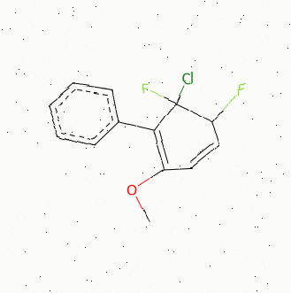 COC1=C(c2ccccc2)C(F)(Cl)C(F)C=C1